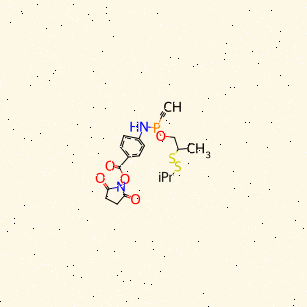 C#CP(Nc1ccc(C(=O)ON2C(=O)CCC2=O)cc1)OCC(C)SSC(C)C